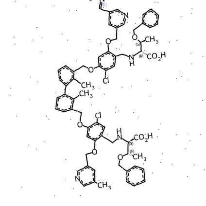 C/N=C/c1cncc(COc2cc(OCc3cccc(-c4cccc(COc5cc(OCc6cncc(C)c6)c(CN[C@@H](C(=O)O)[C@H](C)OCc6ccccc6)cc5Cl)c4C)c3C)c(Cl)cc2CN[C@@H](C(=O)O)[C@H](C)OCc2ccccc2)c1